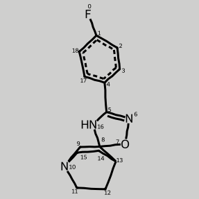 Fc1ccc(C2=NOC3(CN4CCC3CC4)N2)cc1